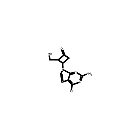 Nc1nc(Cl)c2ncn(C3CC(=O)C3CO)c2n1